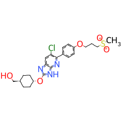 CS(=O)(=O)CCCOc1ccc(-c2nc3[nH]c(O[C@H]4CC[C@H](CO)CC4)nc3cc2Cl)cc1